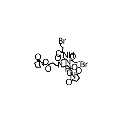 O=C(CCBr)NC(NC(=O)CCBr)C(=O)N(CCC(=O)ON1CCCC1=O)CCC(=O)ON1C(=O)CCC1=O